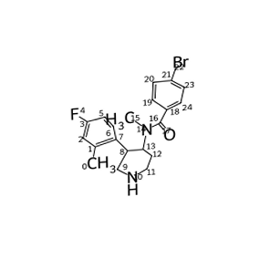 Cc1cc(F)ccc1C1CNCCC1N(C)C(=O)c1ccc(Br)cc1